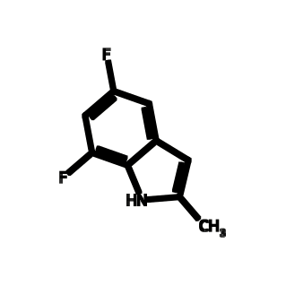 Cc1cc2cc(F)cc(F)c2[nH]1